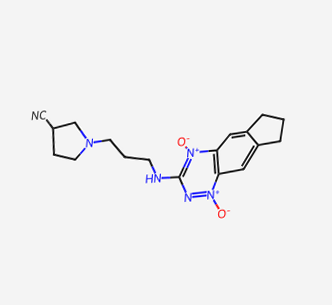 N#CC1CCN(CCCNc2n[n+]([O-])c3cc4c(cc3[n+]2[O-])CCC4)C1